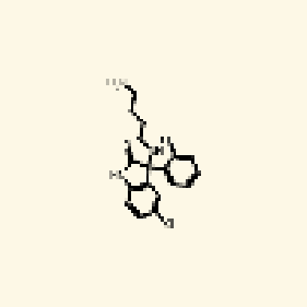 NCCCCNC1(c2ccccc2Cl)C(=O)Nc2ccc(Cl)cc21